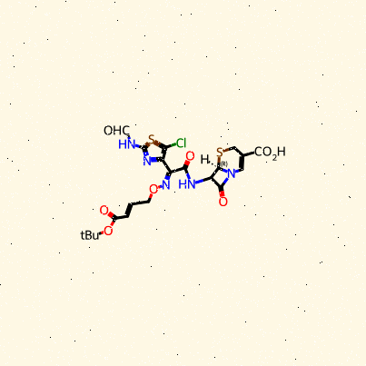 CC(C)(C)OC(=O)C=CCON=C(C(=O)NC1C(=O)N2C=C(C(=O)O)CS[C@H]12)c1nc(NC=O)sc1Cl